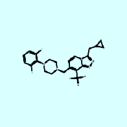 Fc1cccc(F)c1N1CCN(Cc2ccn3c(CC4CC4)nnc3c2C(F)(F)F)CC1